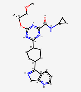 COC[C@@H](C)Oc1nc(C(=O)NC2CC2)nc(C2CCC(C3=NCc4ncccc43)CC2)n1